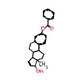 CC12CCC3c4ccc(OC(=O)c5ccccc5)cc4CCC3C1C=CC2O